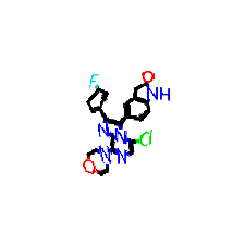 O=C1Cc2cc(-c3c(-c4ccc(F)cc4)nc4c(N5CCOCC5)ncc(Cl)n34)ccc2N1